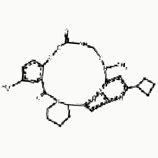 Cc1ccc2c(c1)C(=O)N1CCCCC1c1cc3nc(C4CCC4)cc(n3n1)N(C)CCNC(=O)CC2